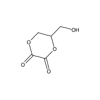 O=C1OCC(CO)OC1=O